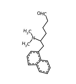 CN(C)C(CCCC=O)Cc1cccc2ccccc12